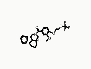 COc1cc(C(=O)N2CC[C@]3(c4ccccc4)CCCC[C@@H]3C2)ccc1OCCOC(F)(F)F